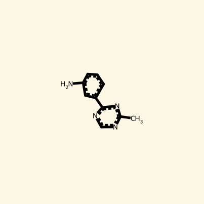 Cc1ncnc(-c2cccc(N)c2)n1